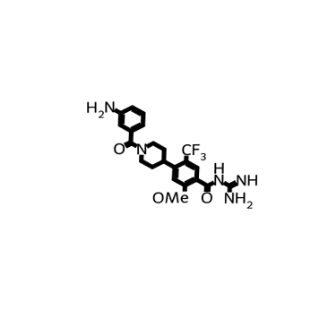 COc1cc(C2CCN(C(=O)c3cccc(N)c3)CC2)c(C(F)(F)F)cc1C(=O)NC(=N)N